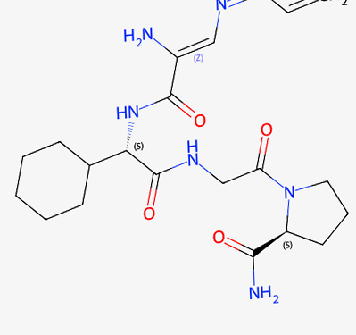 C=C/C=N\C=C(/N)C(=O)N[C@H](C(=O)NCC(=O)N1CCC[C@H]1C(N)=O)C1CCCCC1